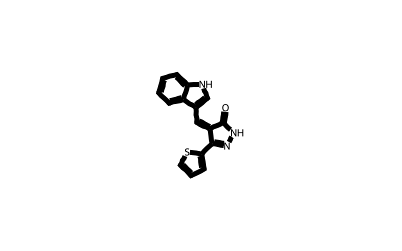 O=C1NN=C(c2cccs2)/C1=C/c1c[nH]c2ccccc12